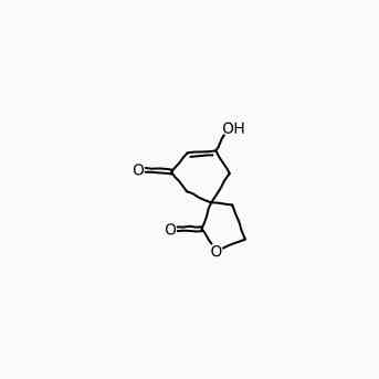 O=C1C=C(O)CC2(CCOC2=O)C1